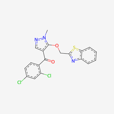 Cn1ncc(C(=O)c2ccc(Cl)cc2Cl)c1OCc1nc2ccccc2s1